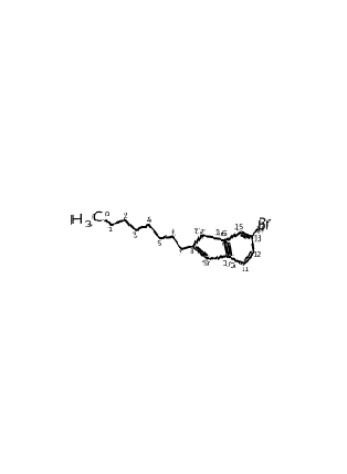 CCCCCCCCC1=Cc2ccc(Br)cc2C1